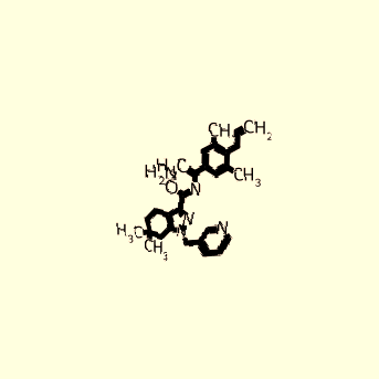 C=CCc1c(C)cc(C(=C)/N=C(\ON)c2nn(Cc3cccnc3)c3c2CCC(C)(C)C3)cc1C